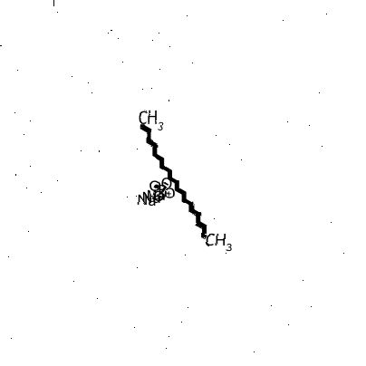 CCCCCCCCCCCCCCCCCCCCC.O=P([O-])([O-])[O-].[Na+].[Na+].[Na+]